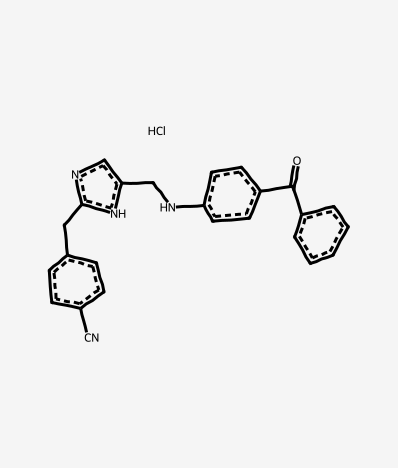 Cl.N#Cc1ccc(Cc2ncc(CNc3ccc(C(=O)c4ccccc4)cc3)[nH]2)cc1